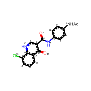 CC(=O)Nc1ccc(NC(=O)c2c[nH]c3c(Cl)cccc3c2=O)cc1